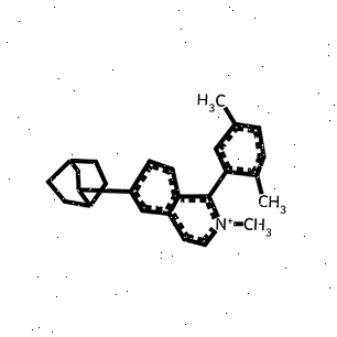 Cc1ccc(C)c(-c2c3ccc(C4CC5CCC4CC5)cc3cc[n+]2C)c1